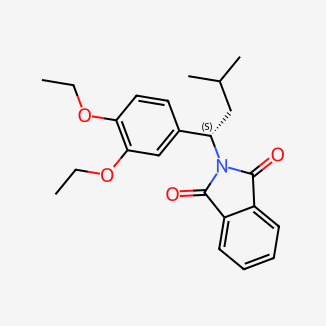 CCOc1ccc([C@H](CC(C)C)N2C(=O)c3ccccc3C2=O)cc1OCC